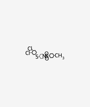 Cc1ccc(S(=O)(=O)N2CCC(Sc3ccc(Cl)c(Cl)c3)CC2)cc1